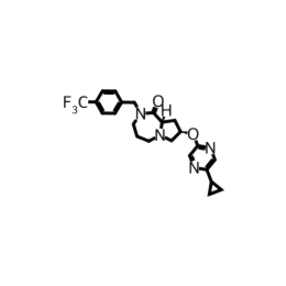 O=C1[C@@H]2C[C@@H](Oc3cnc(C4CC4)cn3)CN2CCCN1Cc1ccc(C(F)(F)F)cc1